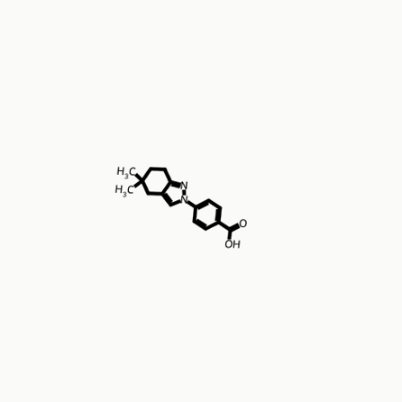 CC1(C)CCc2nn(-c3ccc(C(=O)O)cc3)cc2C1